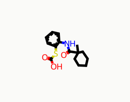 CC1(C(=O)Nc2ccccc2SC(=O)O)CCCCC1